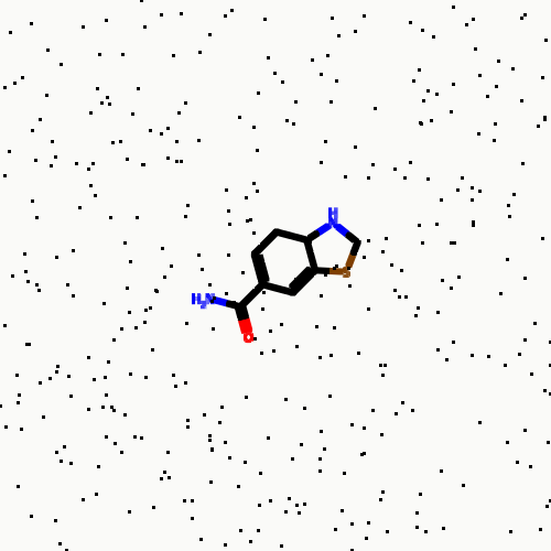 NC(=O)C1=CCC2NCSC2=C1